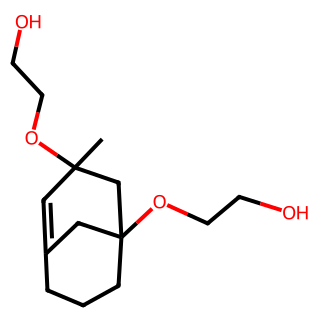 CC1(OCCO)C=C2CCCC(OCCO)(C2)C1